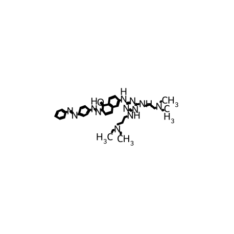 CCN(CC)CCCNc1nc(NCCCN(CC)CC)nc(Nc2ccc3c(c2)C=C/C(=N/Nc2ccc(/N=N/c4ccccc4)cc2)C3=O)n1